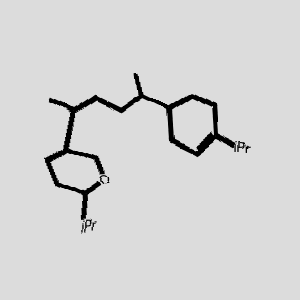 CC(C)C1=CCC(C(C)CCC(C)C2CCC(C(C)C)OC2)CC1